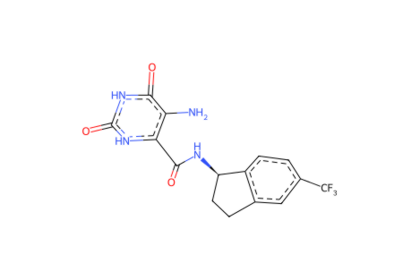 Nc1c(C(=O)N[C@@H]2CCc3cc(C(F)(F)F)ccc32)[nH]c(=O)[nH]c1=O